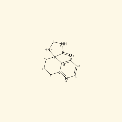 O=C1NCNC12CCCc1ncccc12